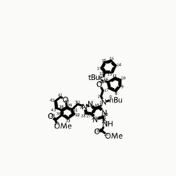 CCCCN(CCO[Si](c1ccccc1)(c1ccccc1)C(C)(C)C)c1nc(NC(=O)OC)nc2cn(Cc3ccc(C(=O)OC)c4c3OCC=C4)nc12